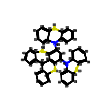 c1ccc2c(c1)Sc1c(N3c4ccccc4Sc4ccccc43)cc(N3c4ccccc4Sc4ccccc43)c3c1B2c1ccccc1S3